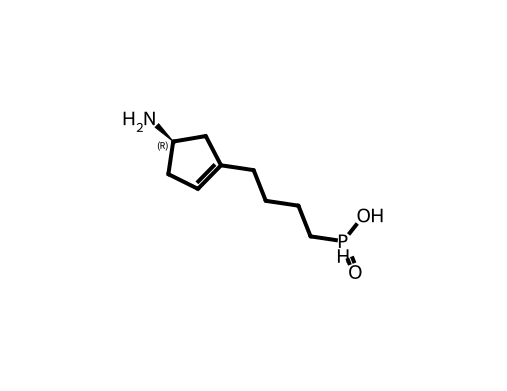 N[C@@H]1CC=C(CCCC[PH](=O)O)C1